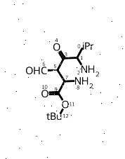 CC(C)C(N)C(=O)[C@H](C=O)C(N)C(=O)OC(C)(C)C